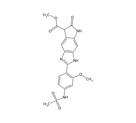 COC(=O)C1C(=O)Nc2cc3[nH]c(-c4ccc(NS(C)(=O)=O)cc4OC)nc3cc21